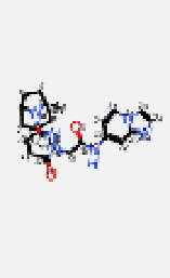 CC1CC2CC[C@H](C1)N2c1ccc(=O)n(CC(=O)Nc2ccn3ccnc3c2)n1